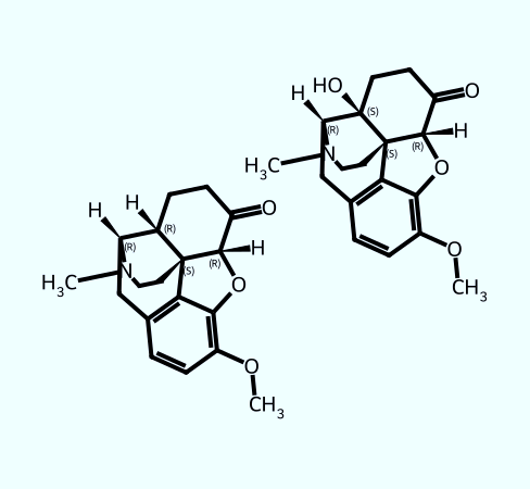 COc1ccc2c3c1O[C@H]1C(=O)CC[C@@]4(O)[C@@H](C2)N(C)CC[C@]314.COc1ccc2c3c1O[C@H]1C(=O)CC[C@H]4[C@@H](C2)N(C)CC[C@]314